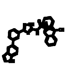 CC1(C(=O)Nc2nc(-c3cccc(-c4ccc5[nH]ccc5c4)c3)n[nH]2)CC2(C#N)c3ccccc3C1c1ccccc12